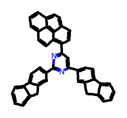 c1ccc2c(c1)Cc1cc(-c3cc(-c4ccc5ccc6cccc7ccc4c5c67)nc(-c4ccc5c(c4)Cc4ccccc4-5)n3)ccc1-2